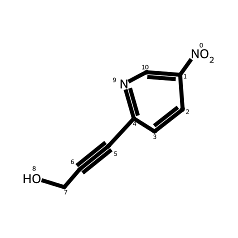 O=[N+]([O-])c1ccc(C#CCO)nc1